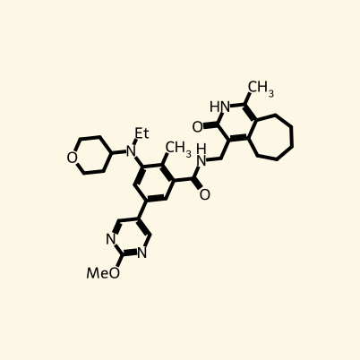 CCN(c1cc(-c2cnc(OC)nc2)cc(C(=O)NCc2c3c(c(C)[nH]c2=O)CCCCC3)c1C)C1CCOCC1